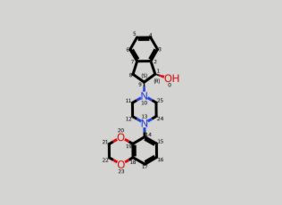 O[C@@H]1c2ccccc2C[C@@H]1N1CCN(c2cccc3c2OCCO3)CC1